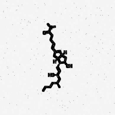 CCCC[C@H](C)C[C@H](O)/C=C/[C@@H]1[C@H]2CC(/C=C/CCC(=O)N(C)C)=C[C@H]2C[C@H]1O